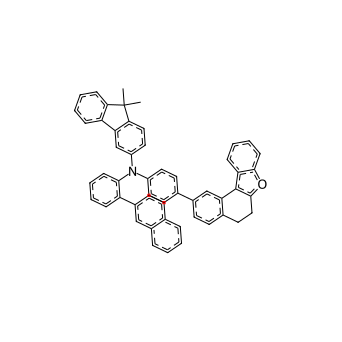 CC1(C)c2ccccc2-c2cc(N(c3ccc(-c4ccc5c(c4)-c4c(oc6ccccc46)CC5)cc3)c3ccccc3-c3ccc4ccccc4c3)ccc21